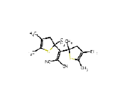 CC1=C(C)SC(C)(C(=C(C#N)C#N)C2(C)CC(C)=C(C)S2)C1